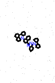 c1ccc2c(c1)-c1cccc3cccc(c13)N2c1ccc(-c2nc(-n3c4ccccc4c4ccccc43)c3ccccc3n2)c2ccccc12